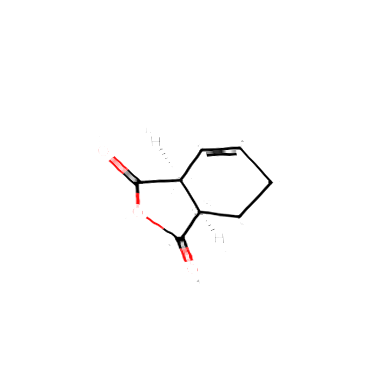 O=C1OC(=O)[C@@H]2CCC=C[C@H]12